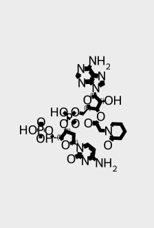 Nc1ccn([C@H]2C[C@@H](OP(=O)(O)OC[C@H]3O[C@@H](n4cnc5c(N)ncnc54)[C@@H](O)C3OC(=O)CN3CCCCC3=O)[C@@H](COP(=O)(O)O)O2)c(=O)n1